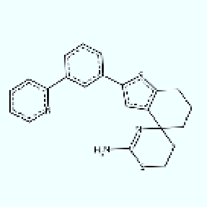 NC1=NC2(CCCc3sc(-c4cccc(-c5ccccn5)c4)cc32)CCS1